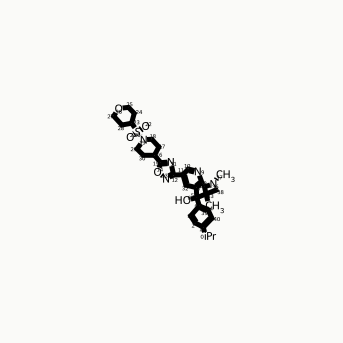 CC(C)c1ccc(C(O)(c2cncc(-c3noc(C4CCN(S(=O)(=O)C5CCOCC5)CC4)n3)c2)C2(C)CN(C)C2)cc1